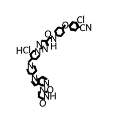 Cl.N#Cc1ccc(OC2CCC(NC(=O)c3cnc(N4CCC(CN5CCC(n6ccc7c(N8CCC(=O)NC8=O)nccc76)CC5)CC4)nc3)CC2)cc1Cl